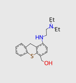 CCN(CC)CCNc1ccc(CO)c2c1Cc1ccccc1S2